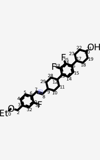 CCOCc1ccc(/C=C/C2CCC(c3ccc(C4CCC(O)CC4)c(F)c3F)CC2)c(F)c1